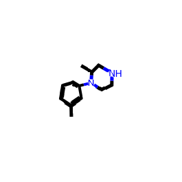 Cc1cccc(N2CCNCC2C)c1